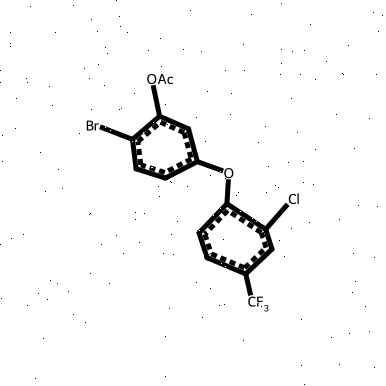 CC(=O)Oc1cc(Oc2ccc(C(F)(F)F)cc2Cl)ccc1Br